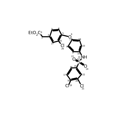 CCOC(=O)Cc1ccc(Oc2ccc(NS(=O)(=O)c3ccc(Cl)c(Cl)c3)cc2)c(Cl)c1